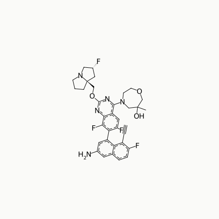 C#Cc1c(F)ccc2cc(N)cc(-c3c(F)cc4c(N5CCOCC(C)(O)C5)nc(OC[C@@]56CCCN5C[C@H](F)C6)nc4c3F)c12